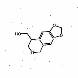 OCC1COCc2cc3c(cc21)OCO3